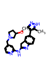 COC1CCN(Cc2ccnc(NC3=Nc4ccc(-c5cn[nH]c5C)cc4C3)c2)C1